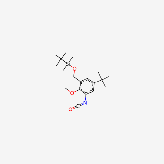 COc1c(CO[Si](C)(C)C(C)(C)C)cc(C(C)(C)C)cc1N=C=O